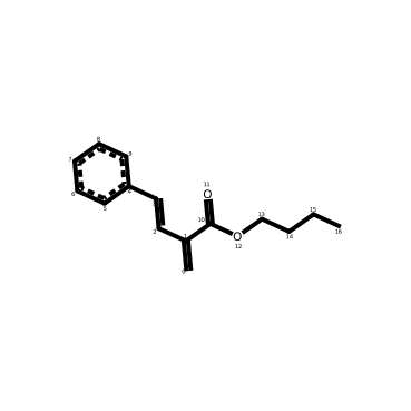 C=C(C=Cc1ccccc1)C(=O)OCCCC